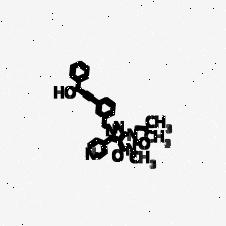 CC(C)Cn1c(=O)n(C)c(=O)c2c(-c3ccncc3)n(Cc3cccc(C#CC(O)c4ccccc4)c3)nc21